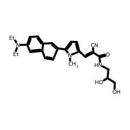 CCN(CC)c1ccc2cc(-c3ccc(/C=C(\C#N)C(=O)NCC(O)CO)n3C)ccc2c1